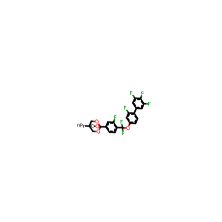 CCCC12COC(c3ccc(C(F)(F)Oc4ccc(-c5cc(F)c(F)c(F)c5)c(F)c4)c(F)c3)(OC1)OC2